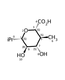 CC(C)[C@@H]1O[C@H](C(=O)O)[C@@H](C)[C@H](O)[C@H]1O